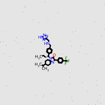 CCC[C@H](c1ccc(CNCc2nn[nH]n2)cc1)N1C(=O)C(c2ccc(C(F)(F)F)cc2)=NC12CCC(C(C)C)CC2